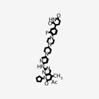 CC(=O)c1c(C)c2cnc(Nc3ccc(N4CCC(N5CCN(c6ccc(C7CCC(=O)NC7=O)cc6F)CC5)CC4)cn3)nc2n(C2CCCC2)c1=O